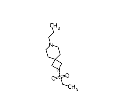 CCCN1CCC2(CC1)CN(S(=O)(=O)CC)C2